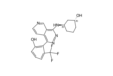 Oc1cccc(C(F)(F)F)c1-c1nnc(N[C@@H]2CCC[C@@H](O)C2)c2cnccc12